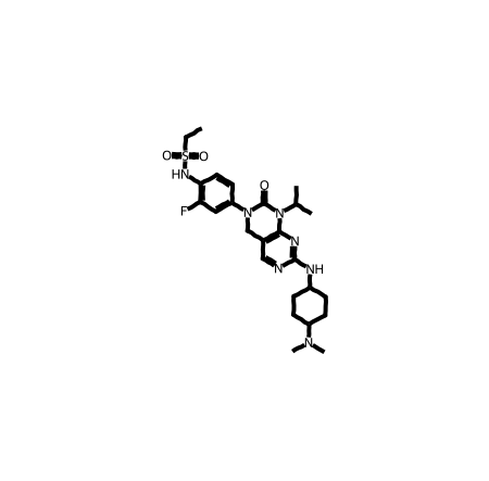 CCS(=O)(=O)Nc1ccc(N2Cc3cnc(NC4CCC(N(C)C)CC4)nc3N(C(C)C)C2=O)cc1F